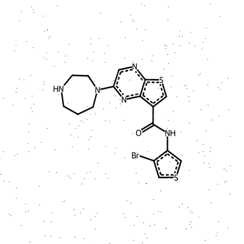 O=C(Nc1cscc1Br)c1csc2ncc(N3CCCNCC3)nc12